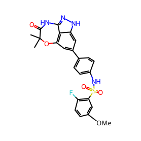 COc1ccc(F)c(S(=O)(=O)Nc2ccc(-c3cc4c5c(n[nH]c5c3)NC(=O)C(C)(C)O4)cc2)c1